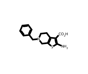 Nc1sc2c(c1C(=O)O)CCN(Cc1ccccc1)C2